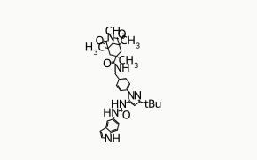 CN1C(=O)C2(C)CC(C)(C(=O)NCc3ccc(-n4nc(C(C)(C)C)cc4NC(=O)Nc4ccc5[nH]ccc5c4)cc3)CC(C)(C2)C1=O